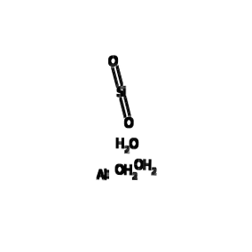 O.O.O.O=[Si]=O.[Al]